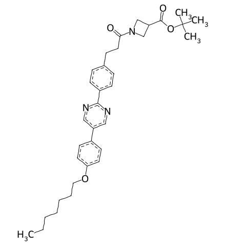 CCCCCCCOc1ccc(-c2cnc(-c3ccc(CCC(=O)N4CC(C(=O)OC(C)(C)C)C4)cc3)nc2)cc1